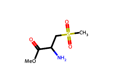 COC(=O)C(N)CS(C)(=O)=O